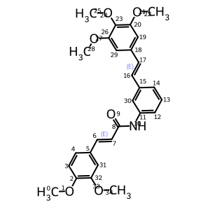 COc1ccc(/C=C/C(=O)Nc2cccc(/C=C/c3cc(OC)c(OC)c(OC)c3)c2)cc1OC